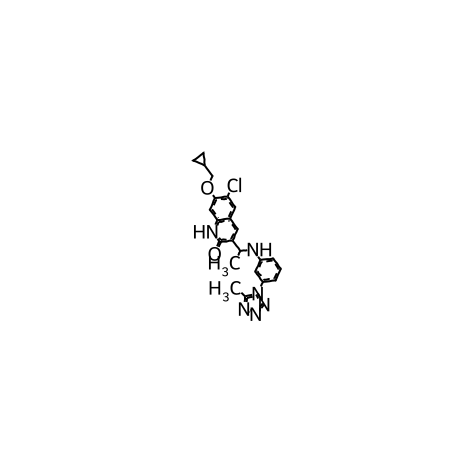 Cc1nnnn1-c1cccc(NC(C)c2cc3cc(Cl)c(OCC4CC4)cc3[nH]c2=O)c1